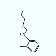 CCCCCNc1ccccc1C